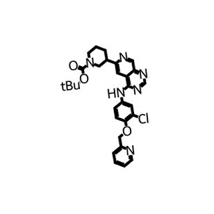 CC(C)(C)OC(=O)N1CCCC(c2cc3c(Nc4ccc(OCc5ccccn5)c(Cl)c4)ncnc3cn2)C1